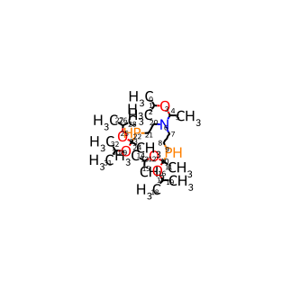 CC(C)OC(C)N(CCPC(C)(OC(C)C)OC(C)C)CCPC(C)(OC(C)C)OC(C)C